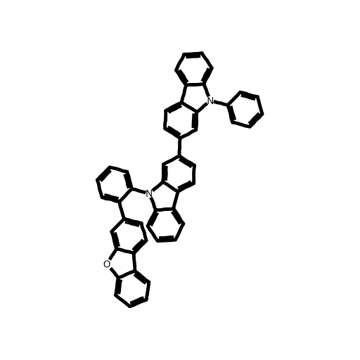 c1ccc(-n2c3ccccc3c3ccc(-c4ccc5c6ccccc6n(-c6ccccc6-c6ccc7c(c6)oc6ccccc67)c5c4)cc32)cc1